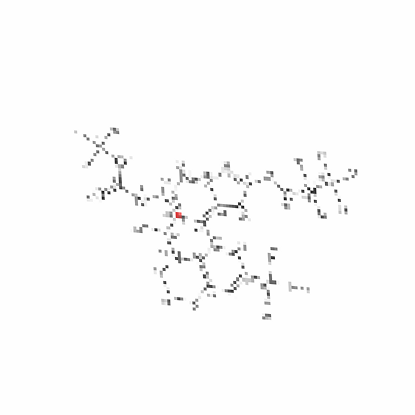 CC(C)(C)OC(=O)N1CCC(N2CCCc3cc(C(F)(F)F)cc(-c4ccnc5cc(CO[Si](C)(C)C(C)(C)C)sc45)c32)C1